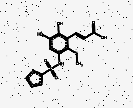 CSc1c(NS(=O)(=O)c2cccs2)cc(O)c(O)c1/C=C/C(=O)O